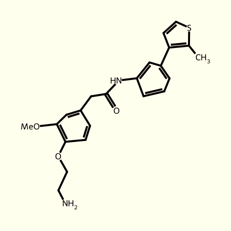 COc1cc(CC(=O)Nc2cccc(-c3ccsc3C)c2)ccc1OCCN